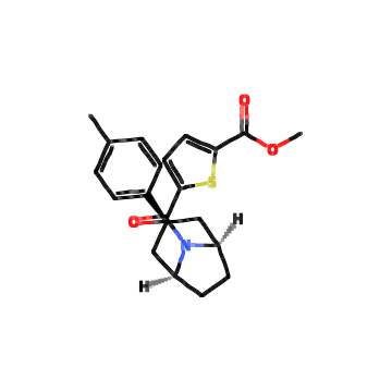 COC(=O)c1ccc(C(=O)N2[C@@H]3CC[C@H]2C[C@@H](c2ccc(C)cc2)C3)s1